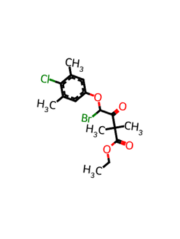 CCOC(=O)C(C)(C)C(=O)C(Br)Oc1cc(C)c(Cl)c(C)c1